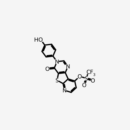 O=c1c2sc3nccc(OS(=O)(=O)C(F)(F)F)c3c2ncn1-c1ccc(O)cc1